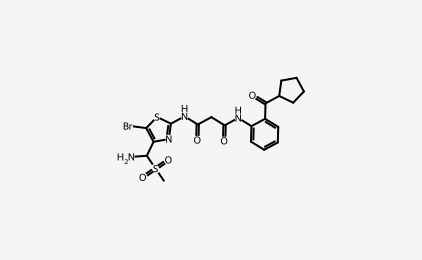 CS(=O)(=O)C(N)c1nc(NC(=O)CC(=O)Nc2ccccc2C(=O)C2CCCC2)sc1Br